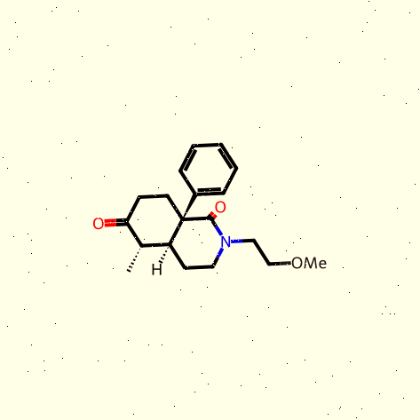 COCCN1CC[C@H]2[C@H](C)C(=O)CC[C@]2(c2ccccc2)C1=O